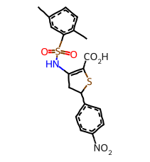 Cc1ccc(C)c(S(=O)(=O)NC2=C(C(=O)O)SC(c3ccc([N+](=O)[O-])cc3)C2)c1